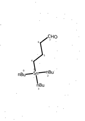 CCC[CH2][Sn]([CH2]CCC)([CH2]CCC)[CH2]CCC=O